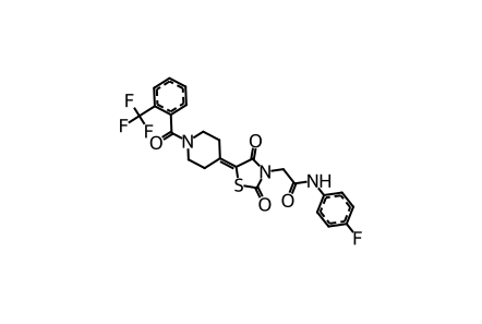 O=C(CN1C(=O)SC(=C2CCN(C(=O)c3ccccc3C(F)(F)F)CC2)C1=O)Nc1ccc(F)cc1